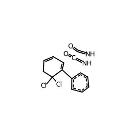 ClC1(Cl)CC=CC=C1c1ccccc1.N=C=O.N=C=O